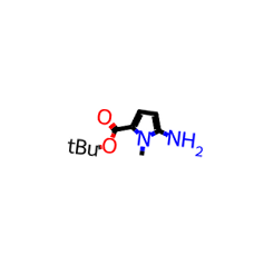 Cn1c(N)ccc1C(=O)OC(C)(C)C